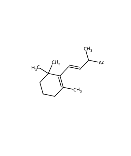 CC(=O)C(C)/C=C/C1=C(C)CCCC1(C)C